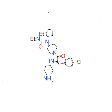 CCN(CC)C(=O)N(C1CCCC1)C1CCN(C(=O)[C@@H](Cc2ccc(Cl)cc2)NC2CCC(N)CC2)CC1